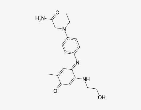 CCN(CC(N)=O)c1ccc(N=C2C=C(C)C(=O)C=C2NCCO)cc1